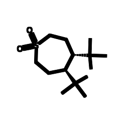 CC(C)(C)[C@H]1CCS(=O)(=O)CC[C@@H]1C(C)(C)C